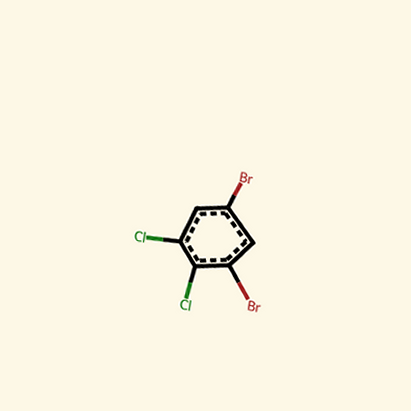 Clc1cc(Br)cc(Br)c1Cl